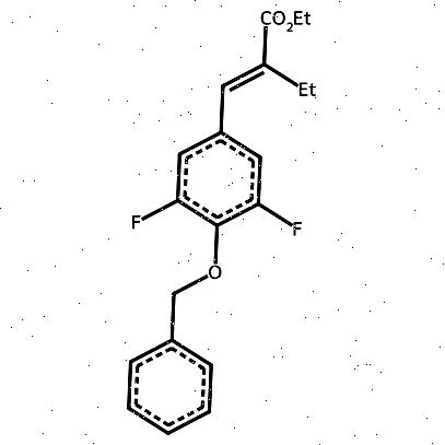 CCOC(=O)C(=Cc1cc(F)c(OCc2ccccc2)c(F)c1)CC